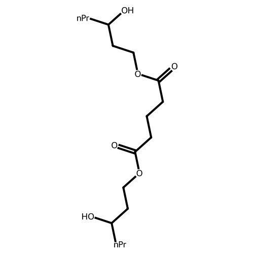 CCCC(O)CCOC(=O)CCCC(=O)OCCC(O)CCC